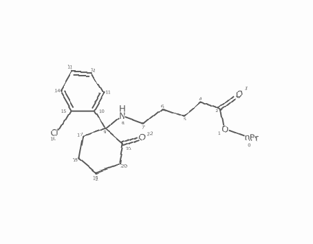 CCCOC(=O)CCCCNC1(c2ccccc2Cl)CCCCC1=O